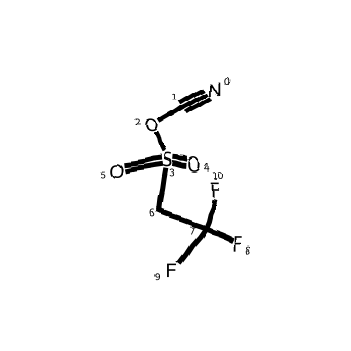 N#COS(=O)(=O)CC(F)(F)F